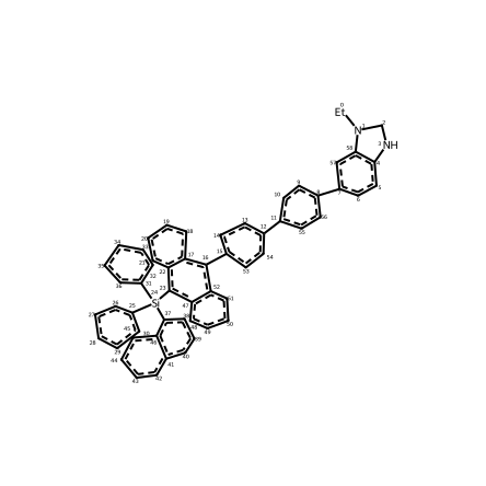 CCN1CNc2ccc(-c3ccc(-c4ccc(-c5c6ccccc6c([Si](c6ccccc6)(c6ccccc6)c6cccc7ccccc67)c6ccccc56)cc4)cc3)cc21